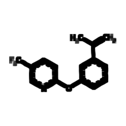 C=C(C)c1cccc(Oc2ccc(C(F)(F)F)cn2)c1